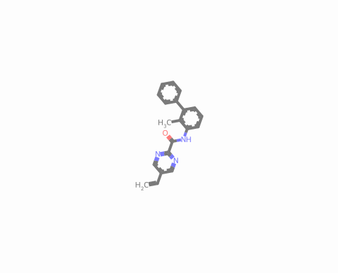 C=Cc1cnc(C(=O)Nc2cccc(-c3ccccc3)c2C)nc1